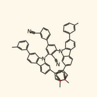 Cc1cccc(-c2ccc3c4ccc(-c5cccc(C)c5)cc4n(-c4cc(-c5cccc(C#N)c5)cc(-n5c6cc(-c7cccc(C)c7)ccc6c6ccc(-c7cccc(C)c7)cc65)c4C#N)c3c2)c1